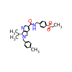 CCS(=O)(=O)c1ccc(CNC(=O)c2cnc3c(c2)CN(Cc2ccc(C)cc2)[C@H]3C(C)C)cc1